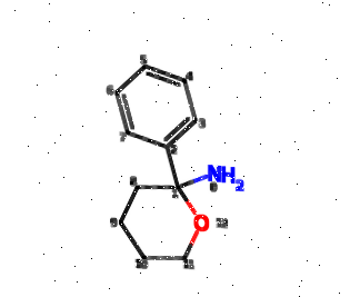 NC1(c2ccccc2)CCCCO1